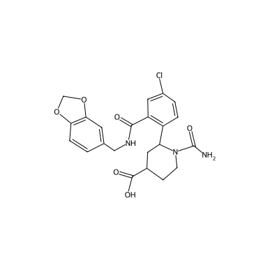 NC(=O)N1CCC(C(=O)O)CC1c1ccc(Cl)cc1C(=O)NCc1ccc2c(c1)OCO2